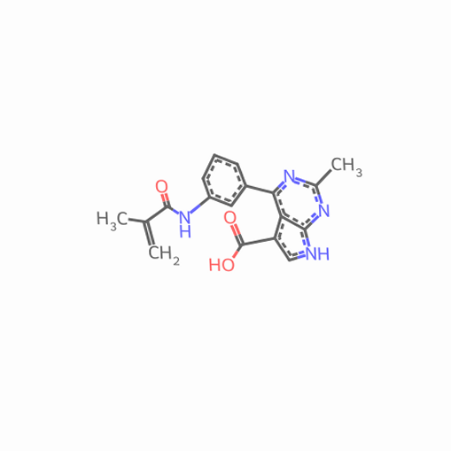 C=C(C)C(=O)Nc1cccc(-c2nc(C)nc3[nH]cc(C(=O)O)c23)c1